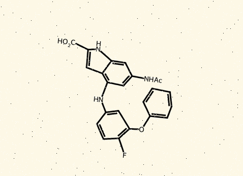 CC(=O)Nc1cc(Nc2ccc(F)c(Oc3ccccc3)c2)c2cc(C(=O)O)[nH]c2c1